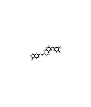 C=C1OCc2cc(CCN3CCc4nc(Nc5ccc(C)c(F)c5)ccc4C3)ccc21